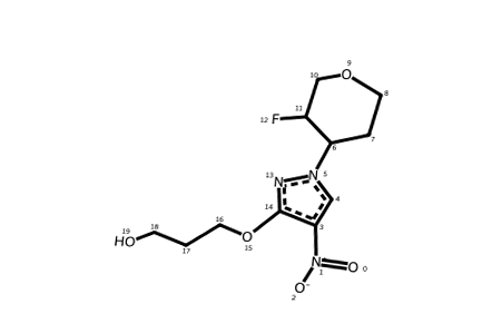 O=[N+]([O-])c1cn(C2CCOCC2F)nc1OCCCO